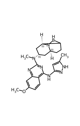 COc1ccc2c(Nc3cc(C)[nH]n3)nc(N(C)[C@H]3C[C@@H]4CCC5BN4[C@H]5C3)nc2c1